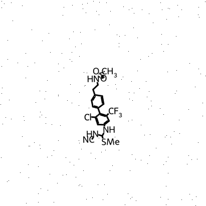 CSC(NC#N)Nc1cc(Cl)c(-c2ccc(CCNS(C)(=O)=O)cc2)c(C(F)(F)F)c1